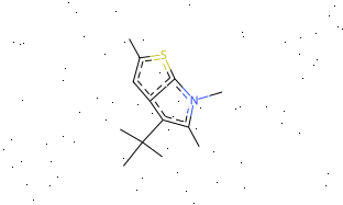 Cc1cc2c(C(C)(C)C)c(C)n(C)c2s1